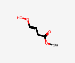 CC(C)(C)OC(=O)CC=COO